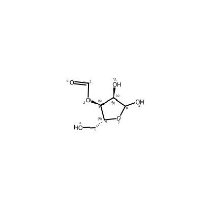 O=CO[C@@H]1[C@@H](CO)OC(O)[C@@H]1O